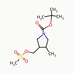 CC1CN(C(=O)OC(C)(C)C)CC1COS(C)(=O)=O